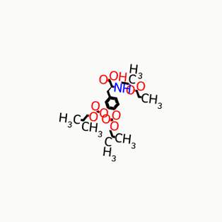 CCC(=O)OC(C)CN[C@@H](Cc1ccc(OC(=O)OCC(C)C)c(OC(=O)OCC(C)C)c1)C(=O)O